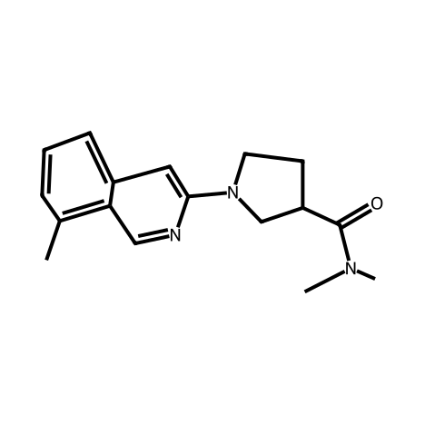 Cc1cccc2cc(N3CCC(C(=O)N(C)C)C3)ncc12